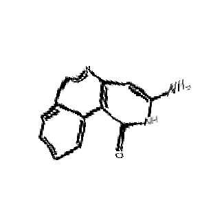 Nc1cc2ncc3ccccc3c2c(=O)[nH]1